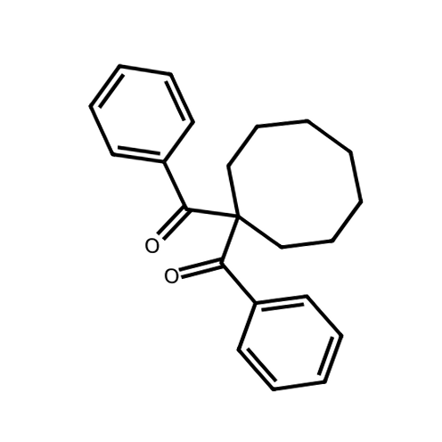 O=C(c1ccccc1)C1(C(=O)c2ccccc2)CCCCCCC1